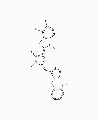 CN1/C(=c2\s/c(=C\c3scc[n+]3Cc3ccccc3C(F)(F)F)n(C)c2=O)Sc2c1ccc(F)c2F